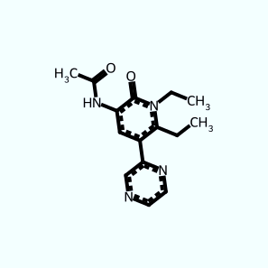 CCc1c(-c2cnccn2)cc(NC(C)=O)c(=O)n1CC